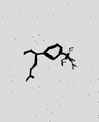 C[CH]C(CCC(C)C)c1cccc(C(F)(F)F)c1